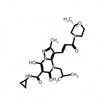 Cc1nn2c(O)c(C(=O)NC3CC3)c(=O)n(CC(C)C)c2c1/C=C/C(=O)N1CCO[C@@H](C)C1